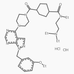 CCOc1cccc(Cn2ncc3c(N4CCN(C(=O)C5CCC(C(=O)N(CC)CCN(CC)CC)CC5)CC4)ncnc32)c1.Cl.Cl